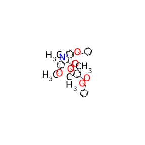 COc1ccc2c(c1)c(C(=O)Oc1c(C)cc(C(=O)OCc3ccccc3)cc1C)c1cc(OCc3ccccc3)ccc1[n+]2C